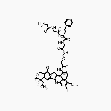 CC[C@@]1(O)C(=O)OCc2c1cc1n(c2=O)Cc2c-1nc1cc(F)c(C)c3c1c2[C@@H](NC(=O)COCNC(=O)CNC(=O)[C@H](CCc1ccccc1)NC(=O)CNC(=O)CN)CC3